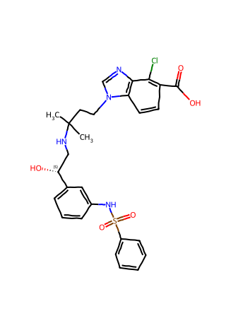 CC(C)(CCn1cnc2c(Cl)c(C(=O)O)ccc21)NC[C@@H](O)c1cccc(NS(=O)(=O)c2ccccc2)c1